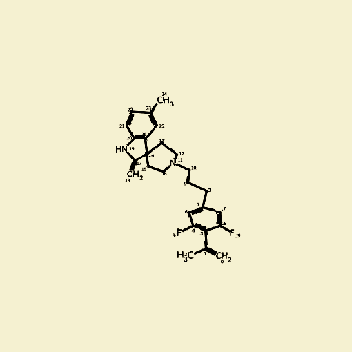 C=C(C)c1c(F)cc(CCCN2CCC3(CC2)C(=C)Nc2ccc(C)cc23)cc1F